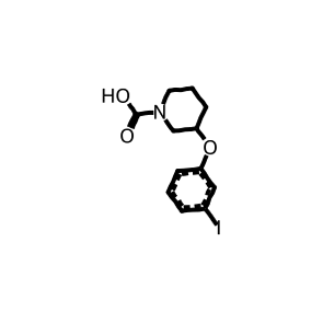 O=C(O)N1CCCC(Oc2cccc(I)c2)C1